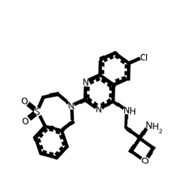 NC1(CNc2nc(N3CCS(=O)(=O)c4ccccc4C3)nc3ccc(Cl)cc23)COC1